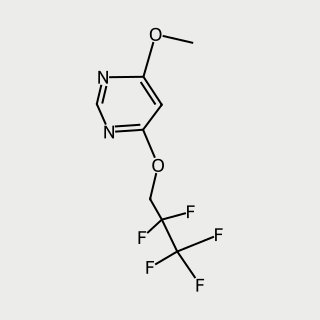 COc1cc(OCC(F)(F)C(F)(F)F)ncn1